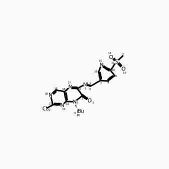 CC[C@@H](C)n1c(=O)c(NCc2ccc(S(C)(=O)=O)nc2)nc2cnc(Cl)nc21